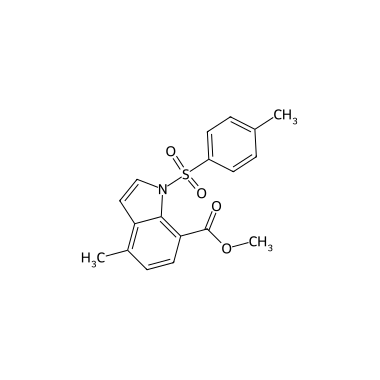 COC(=O)c1ccc(C)c2ccn(S(=O)(=O)c3ccc(C)cc3)c12